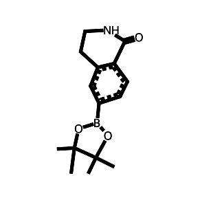 CC1(C)OB(c2ccc3c(c2)CCNC3=O)OC1(C)C